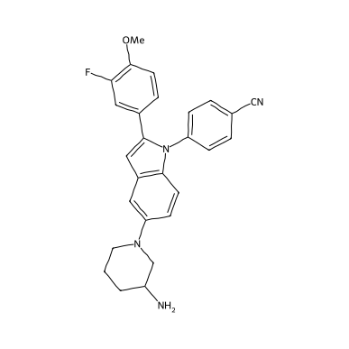 COc1ccc(-c2cc3cc(N4CCCC(N)C4)ccc3n2-c2ccc(C#N)cc2)cc1F